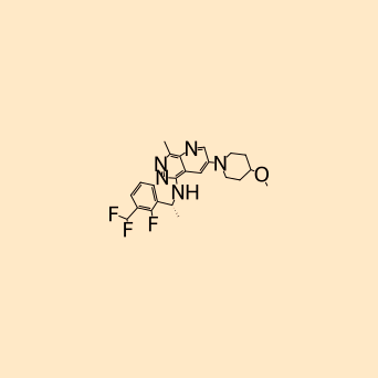 COC1CCN(c2cnc3c(C)nnc(N[C@H](C)c4cccc(C(F)F)c4F)c3c2)CC1